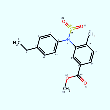 CCc1ccc(N(c2cc(C(=O)OC)ccc2C)[SH](=O)=O)cc1